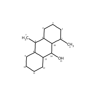 CC1CCCC2C(C)C3CCCCC3C(O)C12